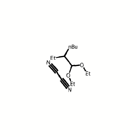 CCCCC(CC)C(OCC)OCC.N#CC#N